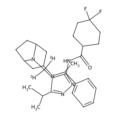 [2H]C([2H])(CC(NC(=O)C1CCC(F)(F)CC1)c1ccccc1)N1C2CCC1CC(n1c(C)nnc1C(C)C)C2